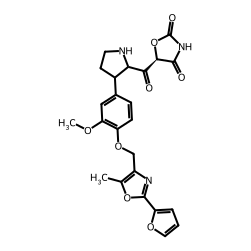 COc1cc(C2CCNC2C(=O)[C@H]2OC(=O)NC2=O)ccc1OCc1nc(-c2ccco2)oc1C